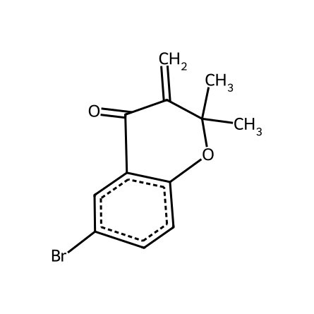 C=C1C(=O)c2cc(Br)ccc2OC1(C)C